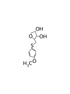 COc1ccc(SCC2OCC(O)C2O)cc1